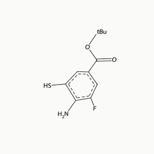 CC(C)(C)OC(=O)c1cc(F)c(N)c(S)c1